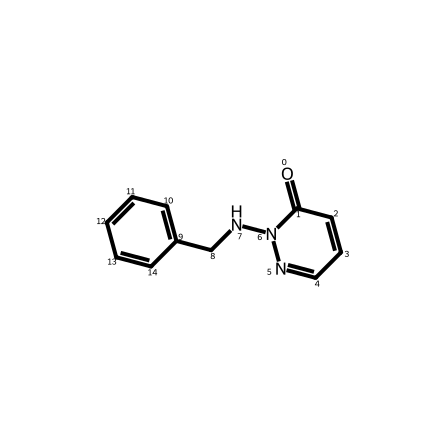 O=c1cccnn1NCc1ccccc1